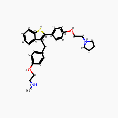 CCNCCOc1ccc(Cc2c(-c3ccc(OCCN4CCCC4)cc3)sc3ccccc23)cc1